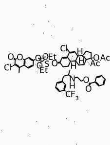 CC(=O)O[C@]1(C(C)=O)CC[C@H]2[C@@H]3C=C(Cl)C4=CC(=O)CC[C@]4(C)[C@H]3CC[C@@]21C.CC(Cc1cccc(C(F)(F)F)c1)NCCOC(=O)c1ccccc1.CCOP(=S)(OCC)Oc1ccc2c(C)c(Cl)c(=O)oc2c1